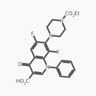 CCOC(=O)N1CCN(c2c(F)cc3c(=O)c(C(=O)O)cn(-c4ccccc4)c3c2F)CC1